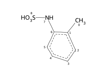 Cc1[c]cccc1NS(=O)(=O)O